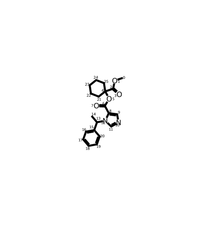 COC(=O)C1(OC(=O)c2cncn2C(C)c2ccccc2)CCCCC1